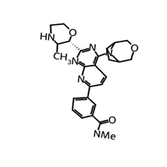 CNC(=O)c1cccc(-c2ccc3c(N4C5CCC4COC5)nc([C@H]4OCCNC4C)nc3n2)c1